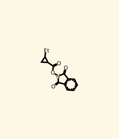 CCC1CC1C(=O)ON1C(=O)c2ccccc2C1=O